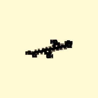 CCCCC(CC)CCCCCC(CCCCC(CCCCCC(CC)CCCC)CC(O)=S)CC(O)=S